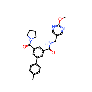 COc1ncc(CNC(=O)c2cc(C(=O)N3CCCC3)cc(-c3ccc(C)cc3)c2)cn1